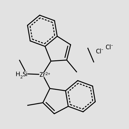 CC.C[SiH2][Zr+2]([CH]1C(C)=Cc2ccccc21)[CH]1C(C)=Cc2ccccc21.[Cl-].[Cl-]